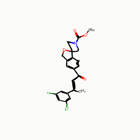 C/C(=C\C(=O)c1ccc2c(c1)COC21CN(C(=O)OC(C)(C)C)C1)c1cc(Cl)cc(Cl)c1